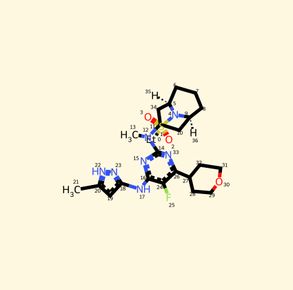 CCS(=O)(=O)N1[C@@H]2CCC[C@H]1CC(N(C)c1nc(Nc3cc(C)[nH]n3)c(F)c(C3CCOCC3)n1)C2